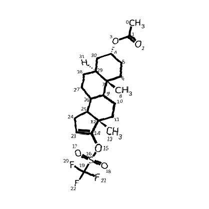 CC(=O)O[C@@H]1CC[C@]2(C)C3CC[C@]4(C)C(OS(=O)(=O)C(F)(F)F)=CCC4C3CC[C@H]2C1